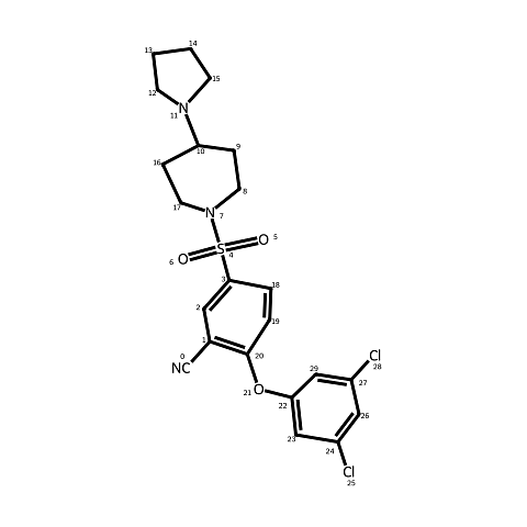 N#Cc1cc(S(=O)(=O)N2CCC(N3CCCC3)CC2)ccc1Oc1cc(Cl)cc(Cl)c1